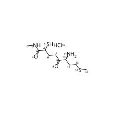 CNC(=O)C(S)CCC(=O)[C@@H](N)CCSC.Cl